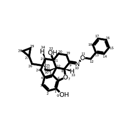 Oc1ccc2c3c1O[C@H]1C(=NOCc4ccccc4)CCC4(O)[C@@H](C2)N(CC2CC2)CC[C@]314